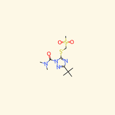 CN(C)C(=O)n1nc(C(C)(C)C)nc1SCS(C)(=O)=O